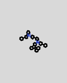 c1ccc(-c2ccc(N(c3cccc(-c4ccc(-n5c6ccccc6c6cc(-c7ccccc7)ccc65)cc4)c3)c3ccc4c(c3)C3(c5ccccc5-4)c4cccc5cccc3c45)cc2)cc1